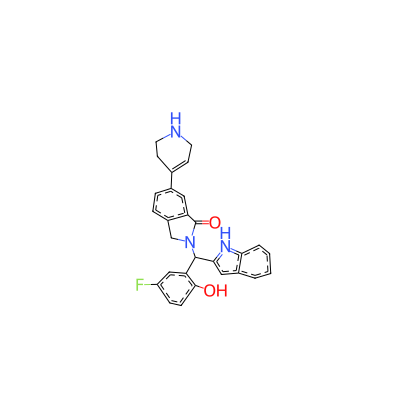 O=C1c2cc(C3=CCNCC3)ccc2CN1C(c1cc2ccccc2[nH]1)c1cc(F)ccc1O